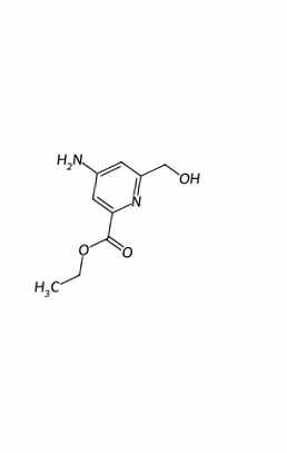 CCOC(=O)c1cc(N)cc(CO)n1